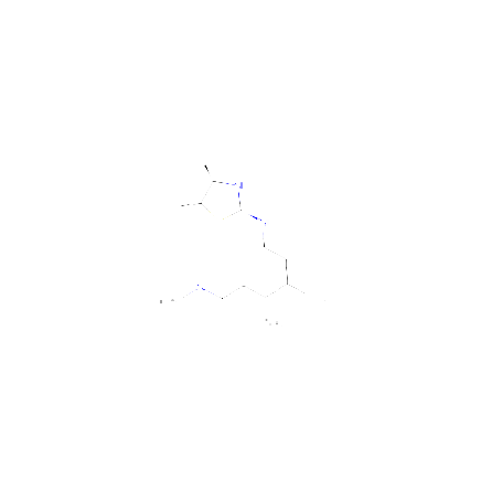 CCCCCCCCCCNCC[C@@H](CCCC)C(C)CCN[C@@H]1N[C@H](CC)C(C)S1